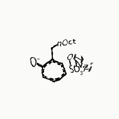 CCCCCCCCCc1ccccc1[O-].O=S(=O)(O)O.[Na+]